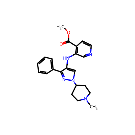 COC(=O)c1ccncc1Nc1cn(C2CCN(C)CC2)nc1-c1ccccc1